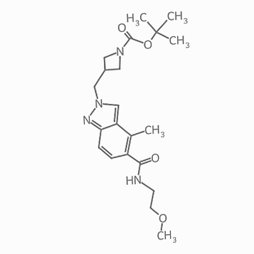 COCCNC(=O)c1ccc2nn(CC3CN(C(=O)OC(C)(C)C)C3)cc2c1C